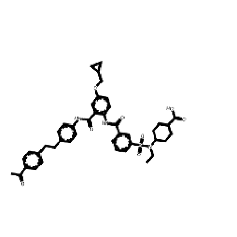 CCN(C1CCC(C(=O)O)CC1)S(=O)(=O)c1cccc(C(=O)Nc2ccc(OCC3CC3)cc2C(=O)Nc2ccc(CCc3ccc(C(C)=O)cc3)cc2)c1